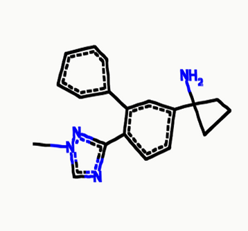 Cn1cnc(-c2ccc(C3(N)CCC3)cc2-c2ccccc2)n1